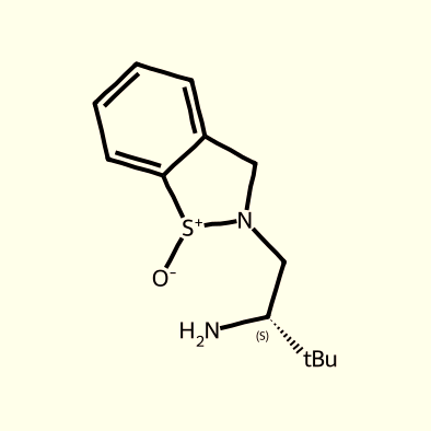 CC(C)(C)[C@H](N)CN1Cc2ccccc2[S+]1[O-]